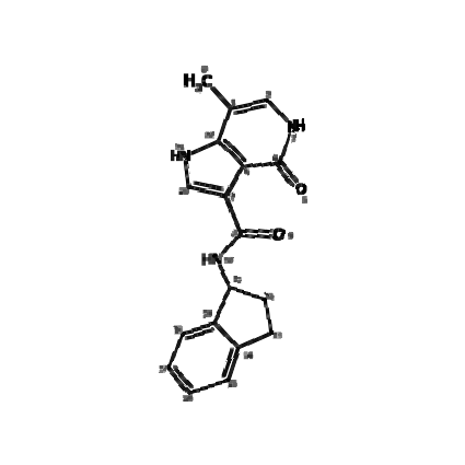 Cc1c[nH]c(=O)c2c(C(=O)NC3CCc4ccccc43)c[nH]c12